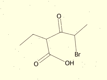 CCC(C(=O)O)C(=O)C(C)Br